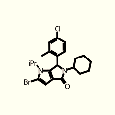 Cc1cc(Cl)ccc1C1c2c(cc(Br)n2C(C)C)C(=O)N1C1CCCCC1